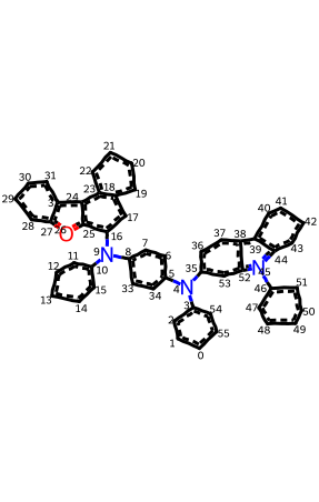 c1ccc(N(c2ccc(N(c3ccccc3)c3cc4ccccc4c4c3oc3ccccc34)cc2)c2ccc3c4ccccc4n(-c4ccccc4)c3c2)cc1